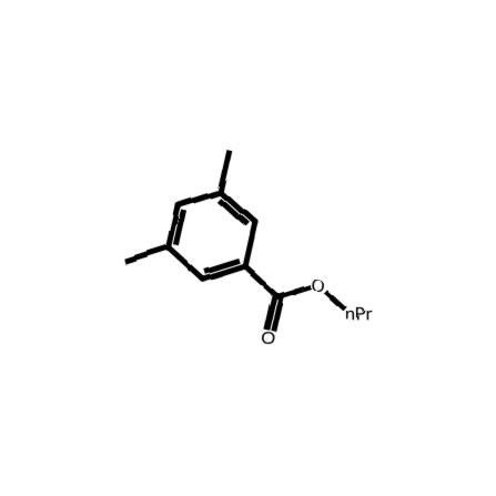 CCCOC(=O)c1cc(C)cc(C)c1